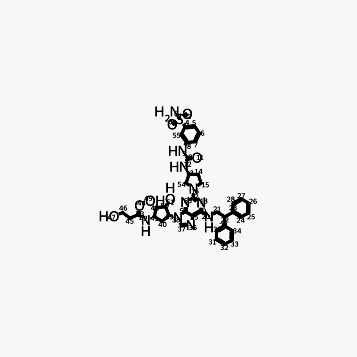 NS(=O)(=O)c1cccc(NC(=O)NC2CCN(c3nc(NCC(c4ccccc4)c4ccccc4)c4ncn([C@@H]5C[C@H](NC(=O)CCO)[C@@H](O)[C@H]5O)c4n3)C2)c1